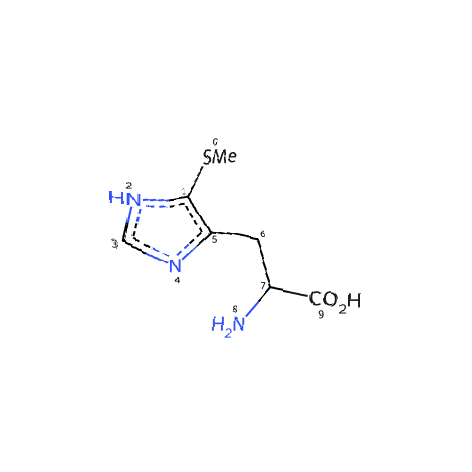 CSc1[nH]cnc1CC(N)C(=O)O